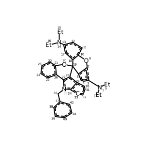 CCN(CC)c1ccc2c(c1)Oc1ccc(N(CC)CC)cc1C21Oc2ccccc2-c2c1c1ccccc1n2Cc1ccccc1